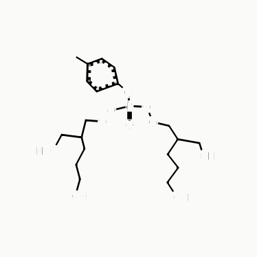 CCCCC(CC)COOP(=O)(OOCC(CC)CCCC)Oc1ccc(F)cc1